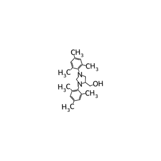 Cc1cc(C)c(N2CC(CO)N(c3c(C)cc(C)cc3C)C2)c(C)c1